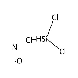 Cl[SiH](Cl)Cl.[N].[O]